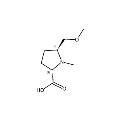 COC[C@@H]1CC[C@@H](C(=O)O)N1C